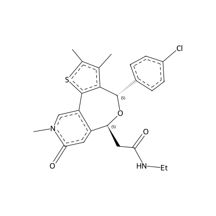 CCNC(=O)C[C@@H]1O[C@@H](c2ccc(Cl)cc2)c2c(sc(C)c2C)-c2cn(C)c(=O)cc21